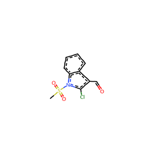 CS(=O)(=O)n1c(Cl)c(C=O)c2ccccc21